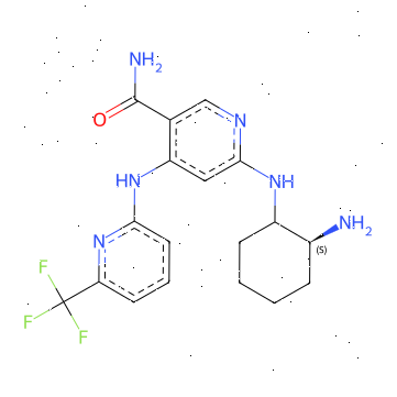 NC(=O)c1cnc(NC2CCCC[C@@H]2N)cc1Nc1cccc(C(F)(F)F)n1